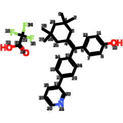 CC1(C)CC(=C(c2ccc(O)cc2)c2ccc(-c3cccnc3)cc2)CC(C)(C)C1.O=C(O)C(F)(F)F